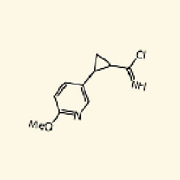 COc1ccc(C2CC2C(=N)Cl)cn1